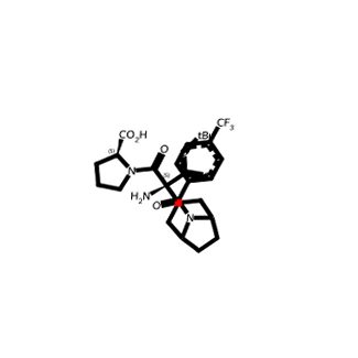 CC(C)(C)OC(=O)[C@@](N)(C(=O)N1CCC[C@H]1C(=O)O)C1CC2CCC(C1)N2C(=O)c1ccc(C(F)(F)F)cc1